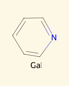 [Ga].c1ccncc1